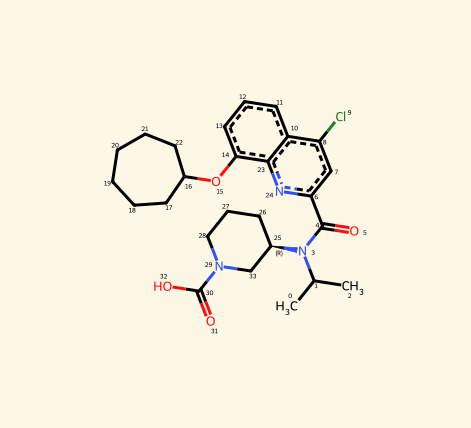 CC(C)N(C(=O)c1cc(Cl)c2cccc(OC3CCCCCC3)c2n1)[C@@H]1CCCN(C(=O)O)C1